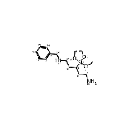 CO[Si](OC)(OC)C(CCN)CCNCc1ccccc1